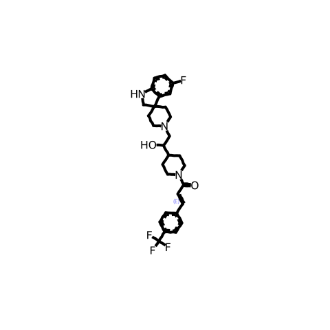 O=C(/C=C/c1ccc(C(F)(F)F)cc1)N1CCC(C(O)CN2CCC3(CC2)CNc2ccc(F)cc23)CC1